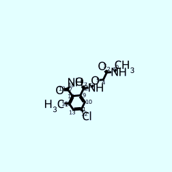 CNC(=O)CONC(=O)c1cc(Cl)cc(C)c1C(N)=O